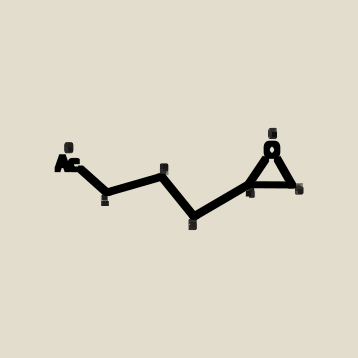 CC(=O)CCCC1CO1